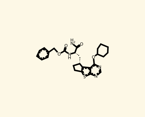 NC(=O)[C@H](C[C@H]1CCc2sc3ncnc(OC4CCCCC4)c3c21)NC(=O)OCc1ccccc1